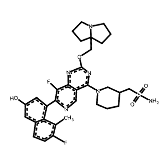 Cc1c(F)ccc2cc(O)cc(-c3ncc4c(N5CCCC(CS(N)(=O)=O)C5)nc(OCC56CCCN5CCC6)nc4c3F)c12